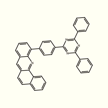 c1ccc(-c2nc(-c3ccccc3)nc(-c3ccc(-c4cccc5cc6ccc7ccccc7c6nc45)cc3)n2)cc1